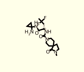 CN1CCC2(CCN(C(=O)N[C@@H](CC(C)(F)F)C(=O)NC3(N)CC3)CC2)C1=O